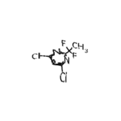 CC(F)(F)c1nc(Cl)cc(Cl)n1